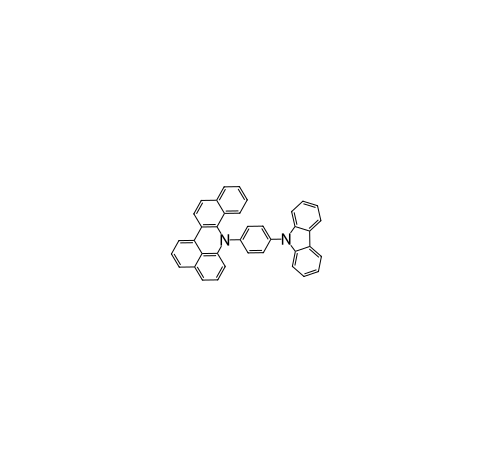 c1ccc2c3c(ccc2c1)-c1cccc2cccc(c12)N3c1ccc(-n2c3ccccc3c3ccccc32)cc1